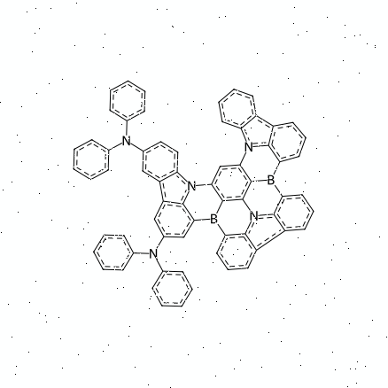 c1ccc(N(c2ccccc2)c2ccc3c(c2)c2cc(N(c4ccccc4)c4ccccc4)cc4c2n3-c2cc3c5c6c2B4c2cccc4c7cccc(c7n-6c24)B5c2cccc4c5ccccc5n-3c24)cc1